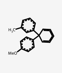 COc1ccc(C2(c3cccc(C)c3)C=C=C=C=C2)cc1